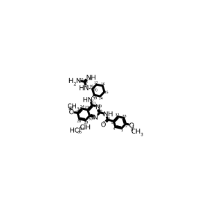 COc1ccc(C(=O)Nc2nc(N[C@H]3CCCC[C@H]3NC(=N)N)c3cc(OC)ccc3n2)cc1.Cl.Cl